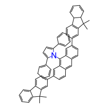 CC1(C)c2ccccc2-c2ccc(-c3ccc4cc5ccc(-c6ccc7c(c6)C(C)(C)C6C=CC=CC76)cc5c(-n5c(C6=CCCC=C6)ccc5-c5ccccc5)c4c3)cc21